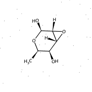 C[C@H]1O[C@@H](O)[C@@H]2O[C@@H]2[C@H]1O